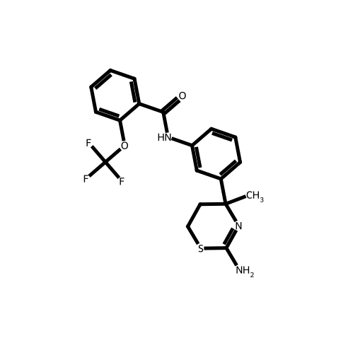 CC1(c2cccc(NC(=O)c3ccccc3OC(F)(F)F)c2)CCSC(N)=N1